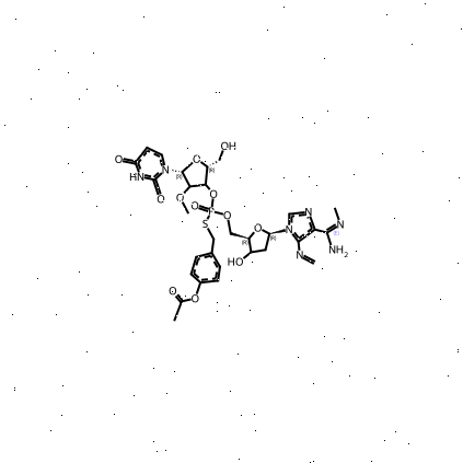 C=Nc1c(/C(N)=N\C)ncn1[C@H]1CC(O)[C@@H](COP(=O)(OC2C(OC)[C@H](n3ccc(=O)[nH]c3=O)O[C@@H]2CO)SCc2ccc(OC(C)=O)cc2)O1